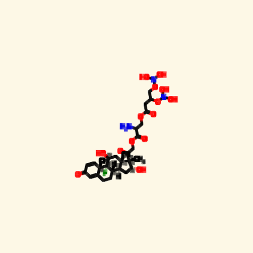 C[C@]12C=CC(=O)C=C1CC[C@H]1[C@@H]3C[C@@H](O)[C@@](C)(C(=O)COC(=O)C(N)COC(=O)CC(CON(O)O)ON(O)O)[C@@]3(C)C[C@H](O)[C@@]12F